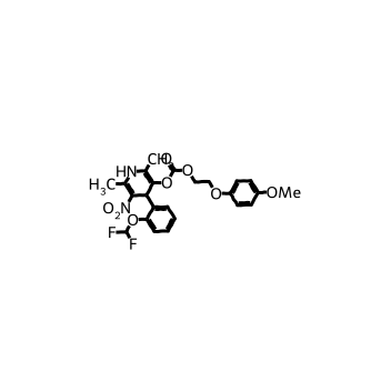 COc1ccc(OCCOC(=O)OC2=C(C)NC(C)=C([N+](=O)[O-])C2c2ccccc2OC(F)F)cc1